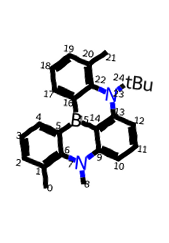 Cc1cccc2c1N(C)c1cccc3c1B2c1cccc(C)c1N3C(C)(C)C